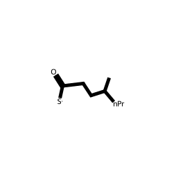 CCCC(C)CCC(=O)[S]